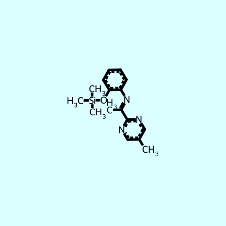 CC(=Nc1ccccc1O[Si](C)(C)C)c1ncc(C)cn1